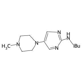 CCC(C)Nc1ncc(N2CCN(C)CC2)cn1